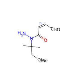 COCC(C)(C)N(N)C(=O)/C=C\C=O